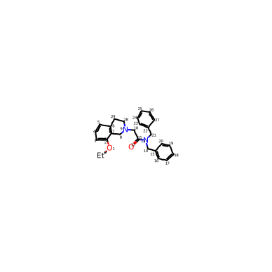 CCOc1cccc2c1CN(CC(=O)N(Cc1ccccc1)Cc1ccccc1)CC2